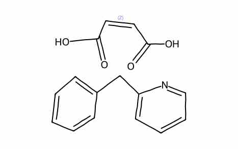 O=C(O)/C=C\C(=O)O.c1ccc(Cc2ccccn2)cc1